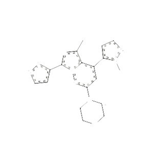 Cc1nc(-c2ccn[nH]2)n2nc(N3CCOC[C@H]3C)cc(-c3ccnn3C(C)C)c12